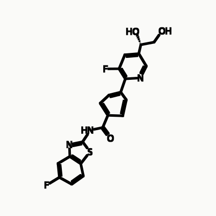 O=C(Nc1nc2cc(F)ccc2s1)c1ccc(-c2ncc([C@H](O)CO)cc2F)cc1